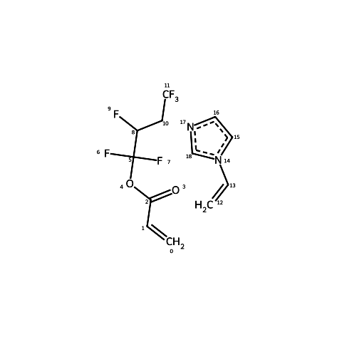 C=CC(=O)OC(F)(F)C(F)CC(F)(F)F.C=Cn1ccnc1